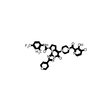 Cc1cc(C(F)(F)F)ccc1NC(=O)[C@H]1CCc2c(N3CCN(C(=O)c4nccc(Cl)c4O)CC3)c(=O)n3nc(C4=CCOCC4)nc3n21